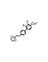 CCOc1ccc(-c2ccc(CCC3OCCO3)cc2)c(F)c1F